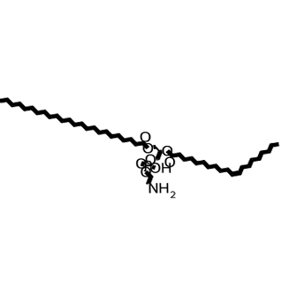 CCCCCCCC/C=C\CCCCCCCCCC(=O)O[C@H](COC(=O)CCCCCCCCCCCCCCCCCCCCCCC)COP(=O)(O)OCCN